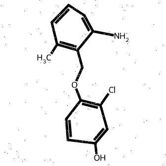 Cc1cccc(N)c1COc1ccc(O)cc1Cl